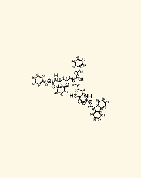 O=C(NCC[C@@H](CN(CCCC[C@H](NC(=O)OCC1c2ccccc2-c2ccccc21)C(=O)O)C(=O)OCc1ccccc1)OC1CCCCO1)OCc1ccccc1